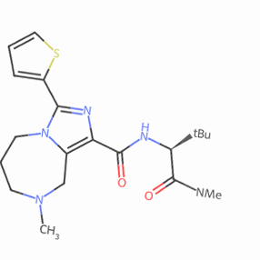 CNC(=O)[C@@H](NC(=O)c1nc(-c2cccs2)n2c1CN(C)CCC2)C(C)(C)C